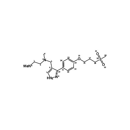 CNCCN(C)Cc1c[nH]nc1-c1ccc(OCCCS(C)(=O)=O)cc1